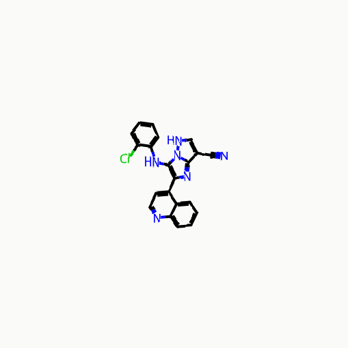 N#Cc1c[nH]n2c(Nc3ccccc3Cl)c(-c3ccnc4ccccc34)nc12